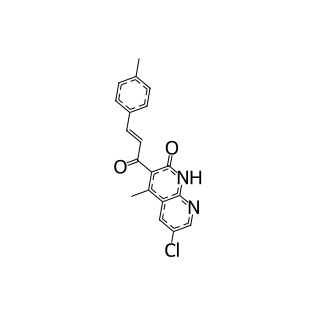 Cc1ccc(C=CC(=O)c2c(C)c3cc(Cl)cnc3[nH]c2=O)cc1